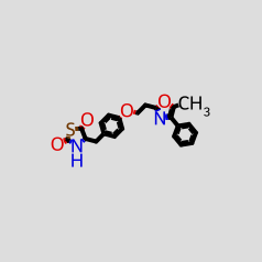 Cc1oc(CCOc2ccc(CC3NC(=O)SC3=O)cc2)nc1-c1ccccc1